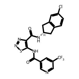 O=C(Nc1snnc1C(=O)N[C@H]1Cc2ccc(Cl)cc2C1)c1cncc(C(F)(F)F)c1